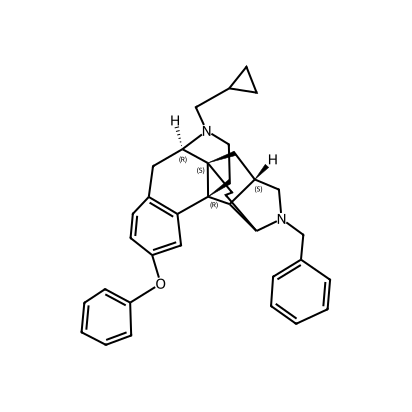 c1ccc(CN2C[C@H]3C[C@@]45CCC2C3[C@@]42CCN(CC3CC3)[C@@H]5Cc3ccc(Oc4ccccc4)cc32)cc1